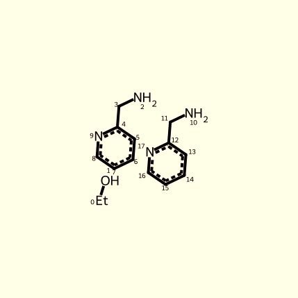 CCO.NCc1ccccn1.NCc1ccccn1